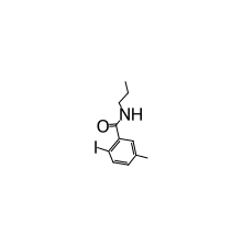 CCCNC(=O)c1cc(C)ccc1I